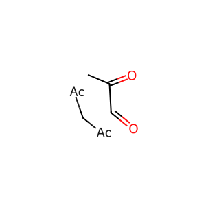 CC(=O)C=O.CC(=O)CC(C)=O